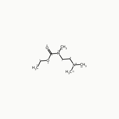 CCOC(=O)N(C)CCN(C)C